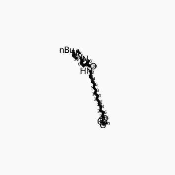 CCCCN1CCN(c2ccc(C(=O)NCCCCCCCCCCCCCCCCOS(C)(=O)=O)cn2)CC1